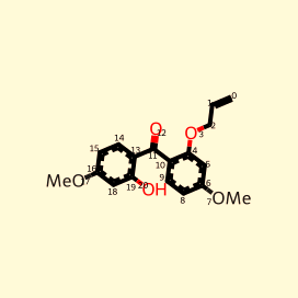 C=CCOc1cc(OC)ccc1C(=O)c1ccc(OC)cc1O